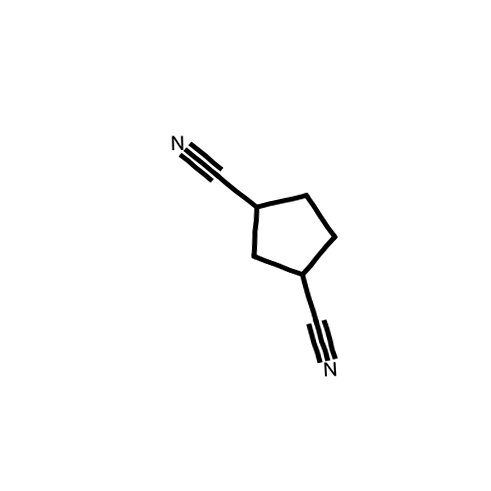 N#CC1CCC(C#N)C1